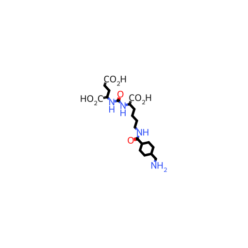 NCC1CCC(C(=O)NCCCCC(NC(=O)NC(CCC(=O)O)C(=O)O)C(=O)O)CC1